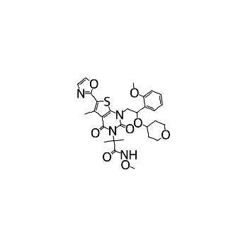 CONC(=O)C(C)(C)n1c(=O)c2c(C)c(-c3ncco3)sc2n(CC(OC2CCOCC2)c2ccccc2OC)c1=O